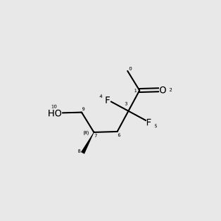 CC(=O)C(F)(F)C[C@@H](C)CO